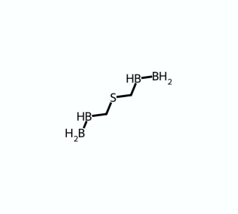 BBCSCBB